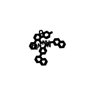 CC1C=Cc2c(oc3ccc(-c4ccccc4)c(C(N)N/C(=N\Cc4ccc5ccccc5c4)c4ccc(-c5cccc6ccccc56)cc4)c23)C1